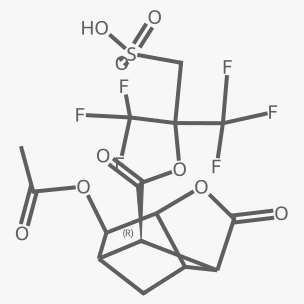 CC(=O)OC1C2OC(=O)C3C2CC1[C@H]3C(=O)OC(CS(=O)(=O)O)(C(F)(F)F)C(F)(F)F